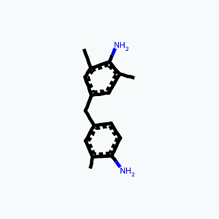 Cc1cc(Cc2cc(C)c(N)c(C)c2)ccc1N